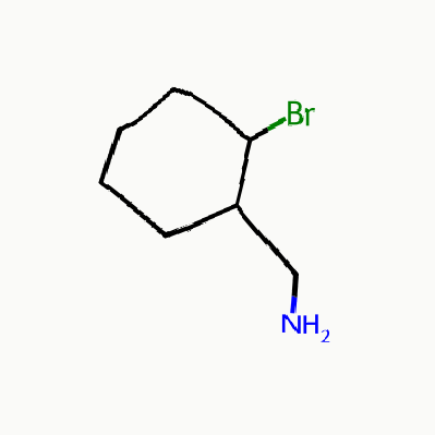 NCC1CCCCC1Br